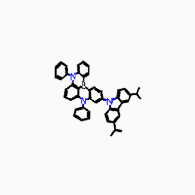 CC(C)c1ccc2c(c1)c1cc(C(C)C)ccc1n2-c1ccc2c(c1)N(c1ccccc1)c1cccc3c1B2c1ccccc1N3c1ccccc1